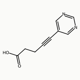 O=C(O)CCC#Cc1cncnc1